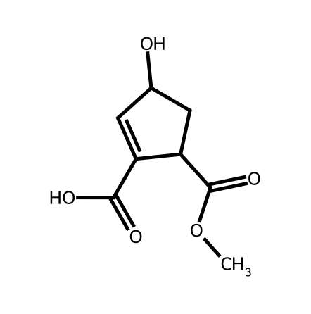 COC(=O)C1CC(O)C=C1C(=O)O